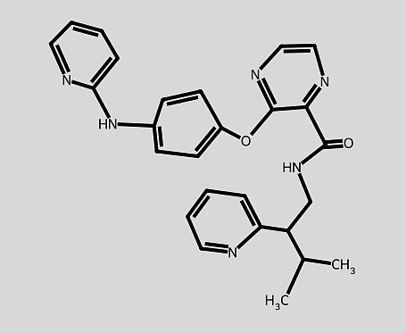 CC(C)C(CNC(=O)c1nccnc1Oc1ccc(Nc2ccccn2)cc1)c1ccccn1